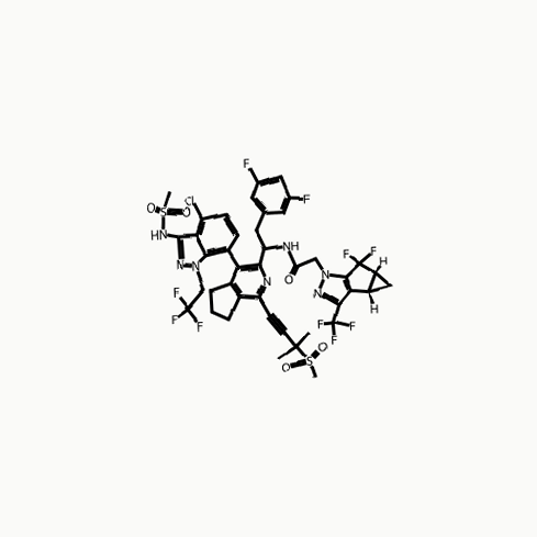 CC(C)(C#Cc1nc(C(Cc2cc(F)cc(F)c2)NC(=O)Cn2nc(C(F)(F)F)c3c2C(F)(F)[C@@H]2C[C@H]32)c(-c2ccc(Cl)c3c(NS(C)(=O)=O)nn(CC(F)(F)F)c23)c2c1CCC2)S(C)(=O)=O